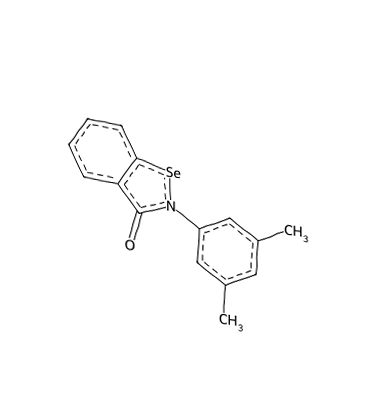 Cc1cc(C)cc(-n2[se]c3ccccc3c2=O)c1